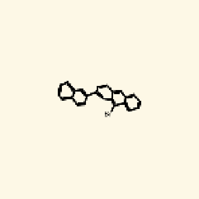 Brc1c2ccccc2cc2ccc(-c3ccc4ccccc4c3)cc12